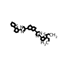 C=Cc1sc2c(-c3ncc(-c4ccc5ccc(-c6cnc(-c7cccc8c7sc7ccccc78)nc6)cc5c4)cn3)cccc2c1/C=C\C